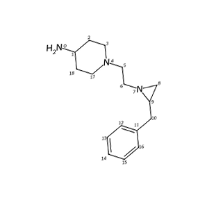 NC1CCN(CCN2CC2Cc2ccccc2)CC1